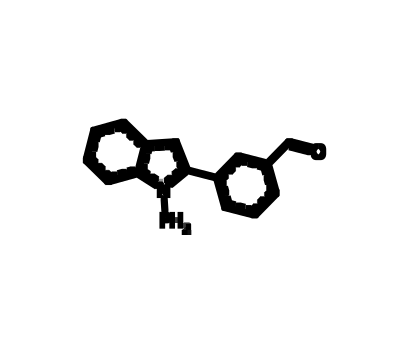 O=Cc1cccc(-c2cc3ccccc3n2P)c1